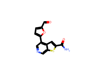 NC(=O)c1cc2c(-c3ccc(C=O)o3)cncc2s1